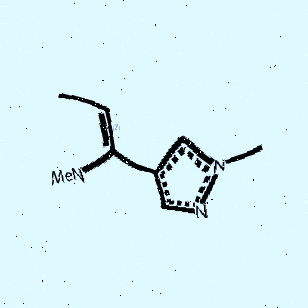 C/C=C(\NC)c1cnn(C)c1